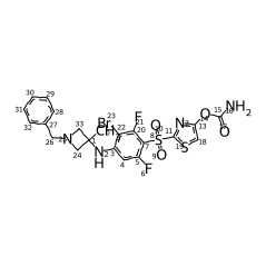 CC1(Nc2cc(F)c(S(=O)(=O)c3nc(OC(N)=O)cs3)c(F)c2Br)CN(Cc2ccccc2)C1